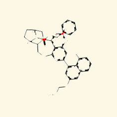 CCc1cccc2cc(OCOC)cc(-c3cc4nc(F)nc5c4c(n3)OCC3[C@H]4CC[C@@H](CN53)N4C(=O)OCc3ccccc3)c12